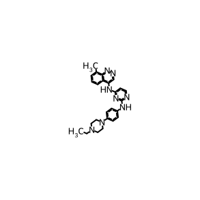 CCN1CCN(c2ccc(Nc3nccc(Nc4cnnc5c(C)cccc45)n3)cc2)CC1